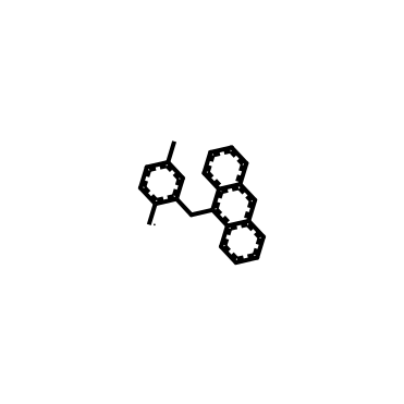 [CH2]c1ccc(C)cc1Cc1c2ccccc2cc2ccccc12